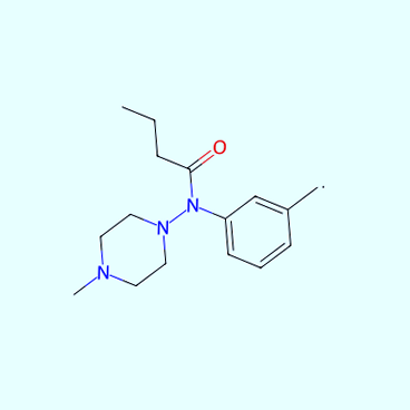 [CH2]c1cccc(N(C(=O)CCC)N2CCN(C)CC2)c1